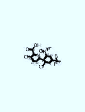 O=C(O)c1nc(-c2c(Cl)cc(C(F)(F)F)cc2[N+](=O)[O-])ccc1Cl